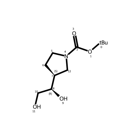 CC(C)(C)OC(=O)N1CC[C@H]([C@@H](O)CO)C1